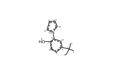 CC(C)(C)c1ccc(O)c(-n2cccc2)c1